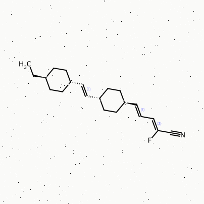 CC[C@H]1CC[C@H](/C=C/[C@H]2CC[C@H](/C=C/C=C(\F)C#N)CC2)CC1